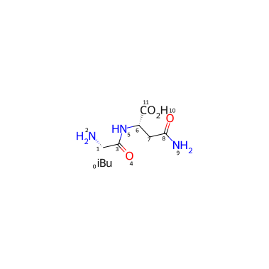 CC[C@H](C)[C@H](N)C(=O)N[C@@H](CC(N)=O)C(=O)O